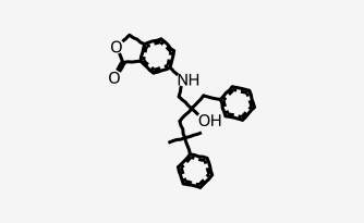 CC(C)(CC(O)(CNc1ccc2c(c1)C(=O)OC2)Cc1ccccc1)c1ccccc1